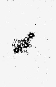 C=CCC(C)(Nn1ccc(=O)c(OCc2ccccc2)c1C(=O)NC)c1ccccc1